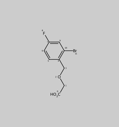 O=C(O)COCc1ccc(F)cc1Br